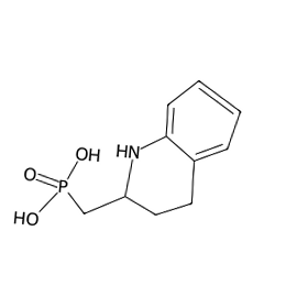 O=P(O)(O)CC1CCc2ccccc2N1